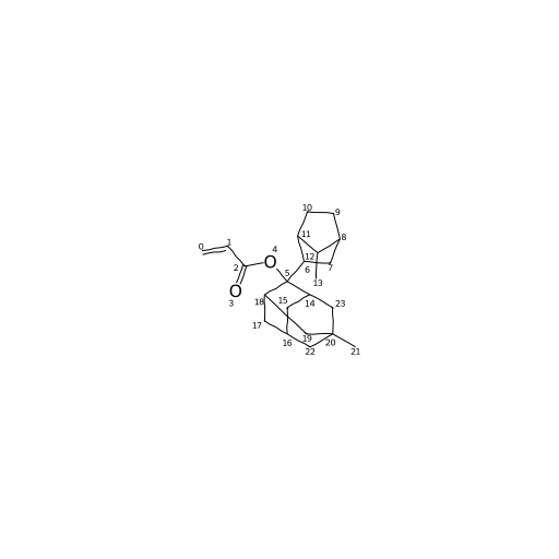 C=CC(=O)OC1(C2CC3CCC2C3C)C2CC3CC1CC(C)(C3)C2